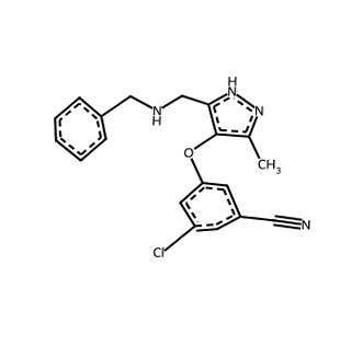 Cc1n[nH]c(CNCc2ccccc2)c1Oc1cc(Cl)cc(C#N)c1